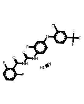 C#N.O=C(NC(=O)c1c(F)cccc1F)Nc1ccc(Oc2ccc(C(F)(F)F)cc2Cl)cc1F